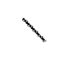 COCCOCCOCCOCCOCCOCCOCCOCCOC